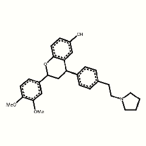 COc1ccc(C2CC(c3ccc(CCN4CCCC4)cc3)c3cc(O)ccc3O2)cc1OC